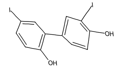 Oc1ccc(-c2cc(I)ccc2O)cc1I